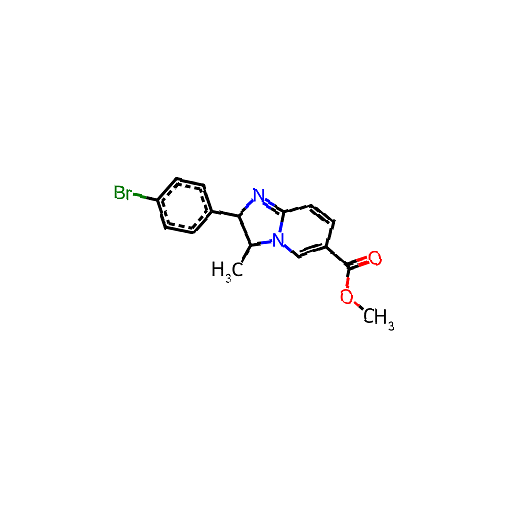 COC(=O)C1=CN2C(=NC(c3ccc(Br)cc3)C2C)C=C1